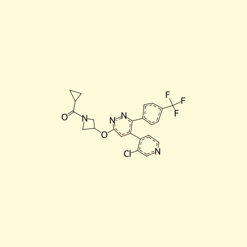 O=C(C1CC1)N1CC(Oc2cc(-c3ccncc3Cl)c(-c3ccc(C(F)(F)F)cc3)nn2)C1